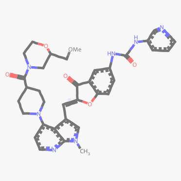 COCC1CN(C(=O)C2CCN(c3ccnc4c3c(/C=C3\Oc5ccc(NC(=O)Nc6cccnc6)cc5C3=O)cn4C)CC2)CCO1